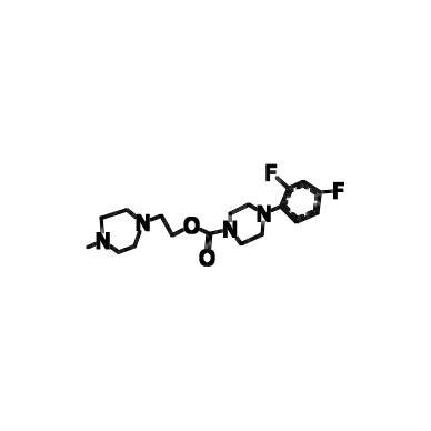 CN1CCN(CCOC(=O)N2CCN(c3ccc(F)cc3F)CC2)CC1